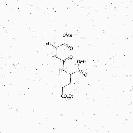 CCOC(=O)CCC(NC(=O)NC(CC)C(=O)OC)C(=O)OC